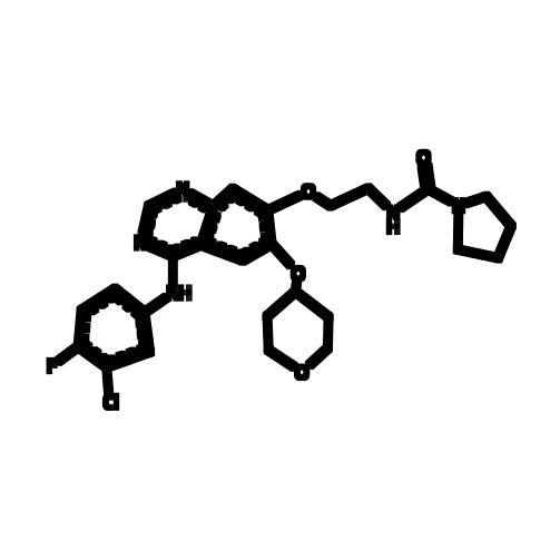 O=C(NCCOc1cc2ncnc(Nc3ccc(F)c(Cl)c3)c2cc1OC1CCOCC1)N1CCCC1